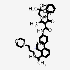 C=C(NCCCN1CCOCC1)c1cccc(-c2ccc(NC(=O)c3c(C)n(CC(C)(C)O)n(-c4ccccc4)c3=O)cc2)c1/C=C\N